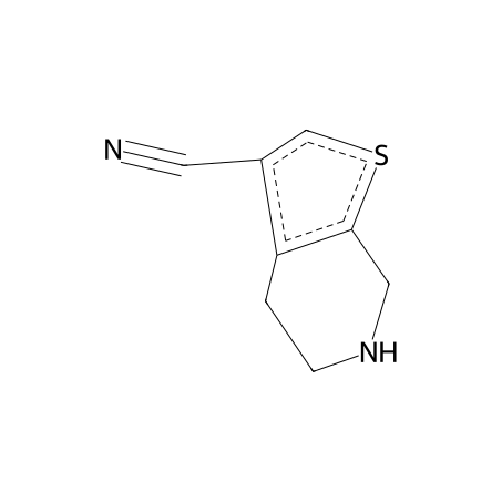 N#Cc1csc2c1CCNC2